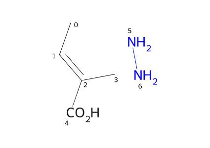 CC=C(C)C(=O)O.NN